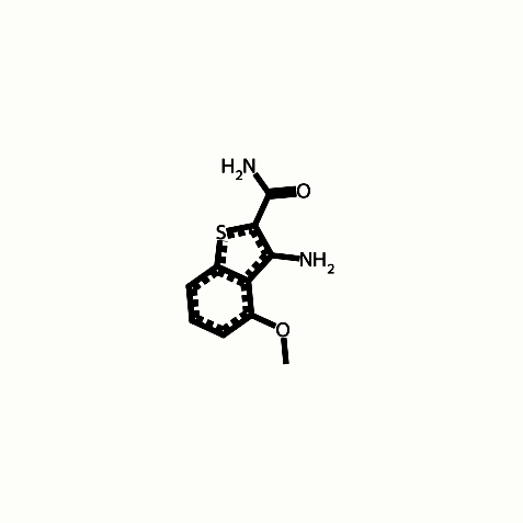 COc1cccc2sc(C(N)=O)c(N)c12